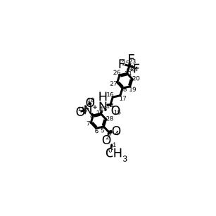 CCOC(=O)c1ccc([N+](=O)[O-])c(NC(=O)CCc2ccc(C(F)(F)F)cc2)c1